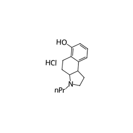 CCCN1CCC2c3cccc(O)c3CCC21.Cl